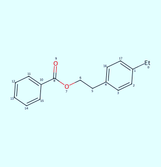 CCc1ccc(CCOC(=O)c2ccccc2)cc1